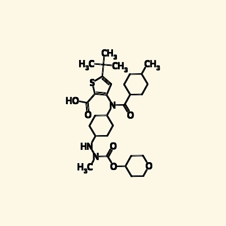 CC1CCC(C(=O)N(c2cc(C(C)(C)C)sc2C(=O)O)C2CCC(NN(C)C(=O)OC3CCOCC3)CC2)CC1